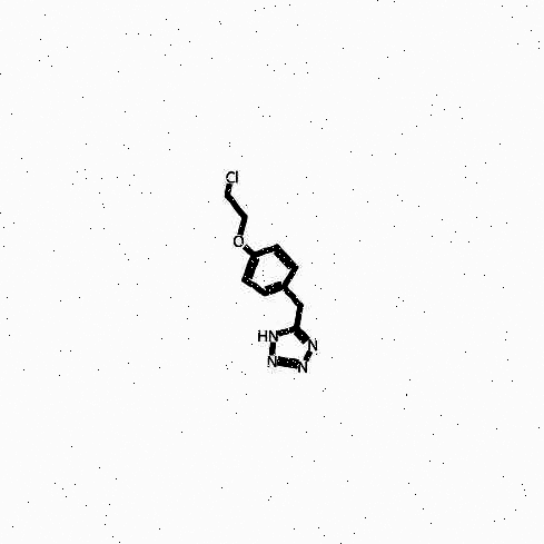 ClCCOc1ccc(Cc2nnn[nH]2)cc1